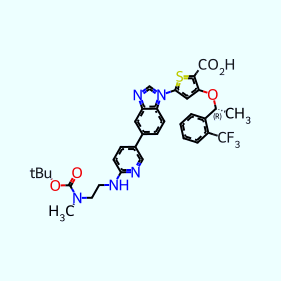 C[C@@H](Oc1cc(-n2cnc3cc(-c4ccc(NCCN(C)C(=O)OC(C)(C)C)nc4)ccc32)sc1C(=O)O)c1ccccc1C(F)(F)F